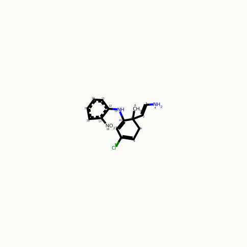 CC1(/C=C/N)CC=C(Cl)C=C1Nc1ccccc1[N+](=O)[O-]